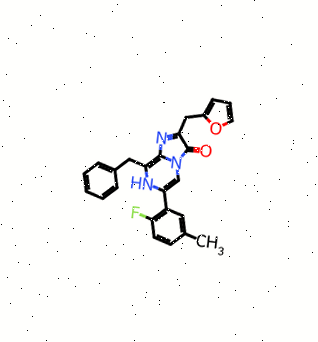 Cc1ccc(F)c(-c2cn3c(=O)c(Cc4ccco4)nc-3c(Cc3ccccc3)[nH]2)c1